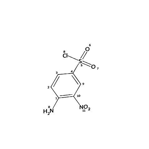 Nc1ccc(S(=O)(=O)Cl)cc1[N+](=O)[O-]